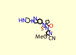 COc1cc(N2C(=O)C3(CCC3)N(c3ccc4nn(C5CCNCC5)cc4c3)C2=S)cnc1C#N